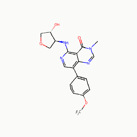 Cn1cnc2c(-c3ccc(OC(F)(F)F)cc3)cnc(N[C@H]3COC[C@@H]3O)c2c1=O